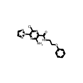 Nc1nc(-n2nccn2)c(Cl)nc1C(=O)NCCOc1ccccc1